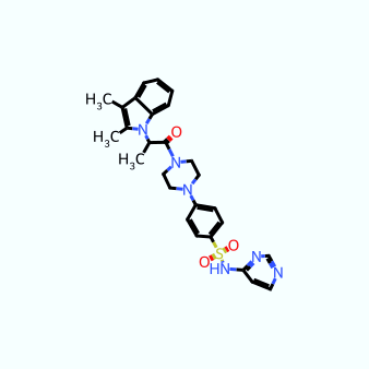 Cc1c(C)n(C(C)C(=O)N2CCN(c3ccc(S(=O)(=O)Nc4ccncn4)cc3)CC2)c2ccccc12